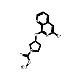 CC(C)(C)OC(=O)N1CCC(Oc2nc(Br)cc3cccnc23)C1